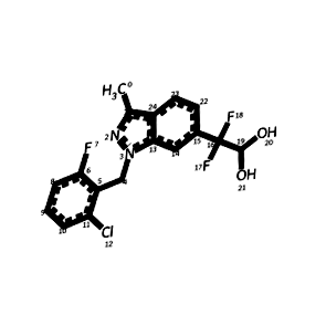 Cc1nn(Cc2c(F)cccc2Cl)c2cc(C(F)(F)C(O)O)ccc12